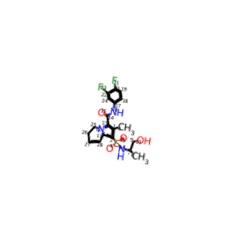 Cc1c(S(=O)(=O)NC(C)CO)c2n(c1C(=O)Nc1ccc(F)c(F)c1)CCC=C2